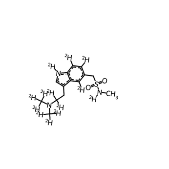 [2H]c1c(CS(=O)(=O)N([2H])C)c([2H])c2c(CC([2H])([2H])N(C([2H])([2H])[2H])C([2H])([2H])[2H])cn([2H])c2c1[2H]